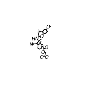 COC(=O)COC(=O)N1CCc2c(sc(NC(=O)C[C@H](C)c3cccc(OC)c3)c2C#N)C1